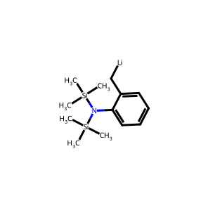 [Li][CH2]c1ccccc1N([Si](C)(C)C)[Si](C)(C)C